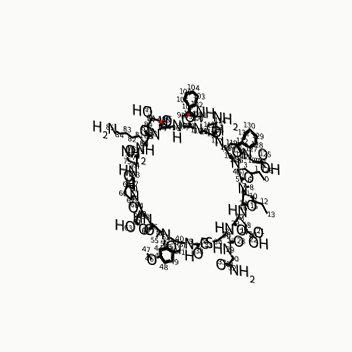 CCCC[C@H]1C(=O)N(C)[C@@H](CCCC)C(=O)N[C@@H](CCC(=O)O)C(=O)N[C@H](C(=O)NCC(N)=O)CSCC(=O)N[C@@H](Cc2ccc(OC)cc2)C(=O)N(C)[C@@H](C)C(=O)N[C@@H](CC(=O)O)C(=O)N2CCC[C@H]2C(=O)N[C@@H](CN)C(=O)N[C@@H](CCCCN)C(=O)N2C[C@H](O)C[C@H]2C(=O)N[C@@H](Cc2c[nH]c3ccccc23)C(=O)N[C@@H](CCN)C(=O)N[C@@H](Cc2cn(CC(=O)O)c3ccccc23)C(=O)N1C